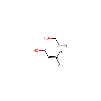 C=CCO.CC(C)=CCO